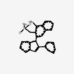 CCCCc1c([CH2][Ti]([NH2])([Cl])[Cl])c(C2C(c3ccccc3)=Cc3ccccc32)cc2ccccc12